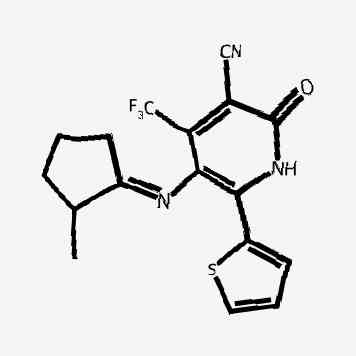 CC1CCCC1=Nc1c(-c2cccs2)[nH]c(=O)c(C#N)c1C(F)(F)F